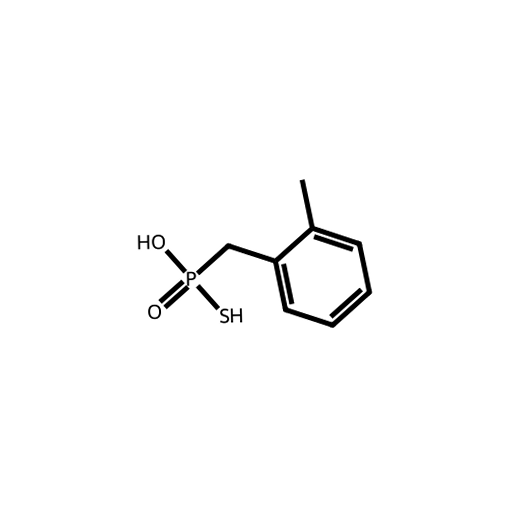 Cc1ccccc1CP(=O)(O)S